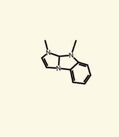 CN1C=CN2c3ccccc3N(C)C12